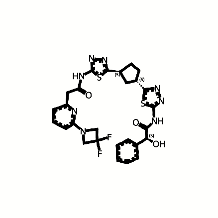 O=C(Cc1cccc(N2CC(F)(F)C2)n1)Nc1nnc([C@H]2CC[C@H](c3nnc(NC(=O)[C@@H](O)c4ccccc4)s3)C2)s1